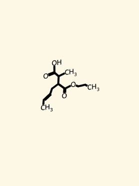 CC=CCC(C(=O)OCCC)C(C)C(=O)O